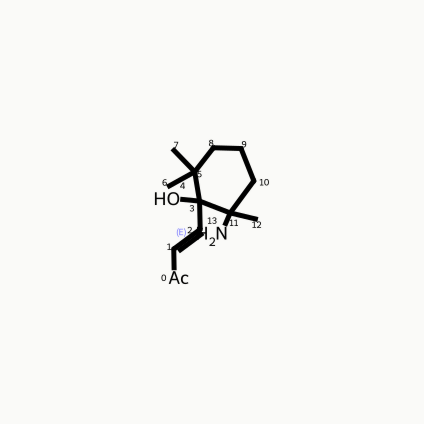 CC(=O)/C=C/C1(O)C(C)(C)CCCC1(C)N